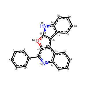 c1ccc(-c2nc3ccccc3c3c2oc2[nH]c4ccccc4c23)cc1